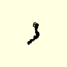 CC/C=C\C/C=C\C/C=C\C/C=C\CCCCC(=O)OCOC1=Nc2cc(OCCCCN3CCN(c4cccc(Cl)c4Cl)CC3)ccc2CC1